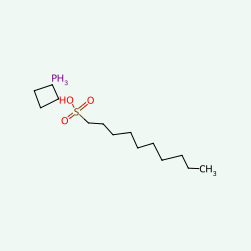 C1CCC1.CCCCCCCCCCS(=O)(=O)O.P